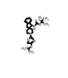 CC(C)Sc1cnc(N2CCC3(CC2)Cc2ccccc2[C@H]3NC(=O)OC(C)(C)C)cn1